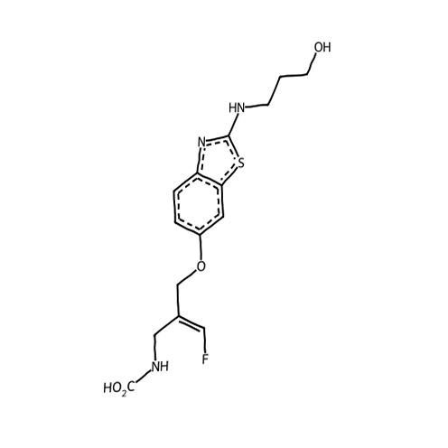 O=C(O)NCC(=CF)COc1ccc2nc(NCCCO)sc2c1